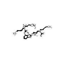 CCCCN(CCCC)C(=S)[S-].CCCCN(CCCC)C(=S)[S-].[Zn+2].c1ccc2scnc2c1